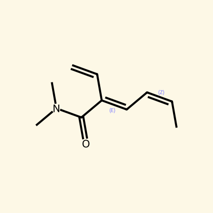 C=C/C(=C\C=C/C)C(=O)N(C)C